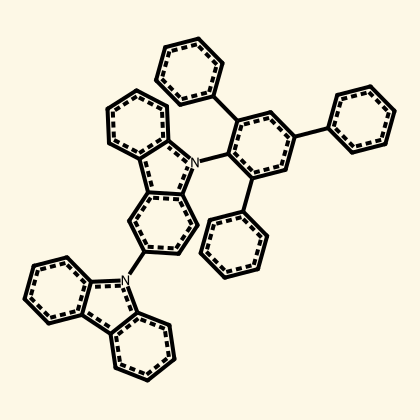 c1ccc(-c2cc(-c3ccccc3)c(-n3c4ccccc4c4cc(-n5c6ccccc6c6ccccc65)ccc43)c(-c3ccccc3)c2)cc1